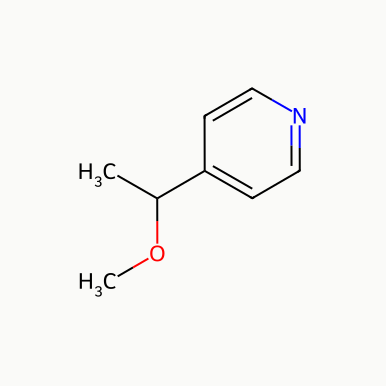 COC(C)c1ccncc1